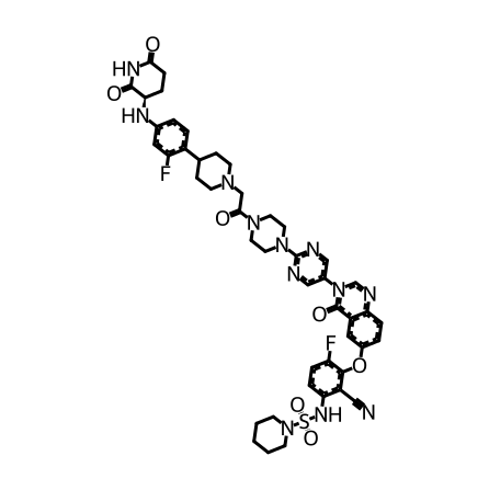 N#Cc1c(NS(=O)(=O)N2CCCCC2)ccc(F)c1Oc1ccc2ncn(-c3cnc(N4CCN(C(=O)CN5CCC(c6ccc(N[C@@H]7CCC(=O)NC7=O)cc6F)CC5)CC4)nc3)c(=O)c2c1